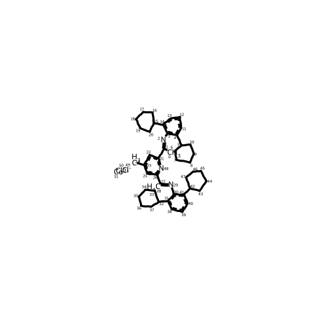 CC(=Nc1c(C2CCCCC2)cccc1C1CCCCC1)c1cc(C)cc(C(C)=Nc2c(C3CCCCC3)cccc2C2CCCCC2)n1.[Cl-].[Cl-].[Co+2]